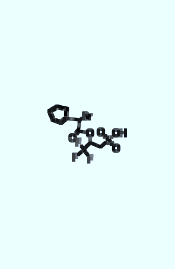 O=C(OC(CS(=O)(=O)O)C(F)(F)F)C(Br)c1ccccc1